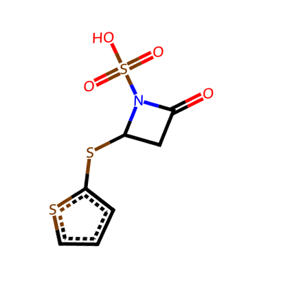 O=C1CC(Sc2cccs2)N1S(=O)(=O)O